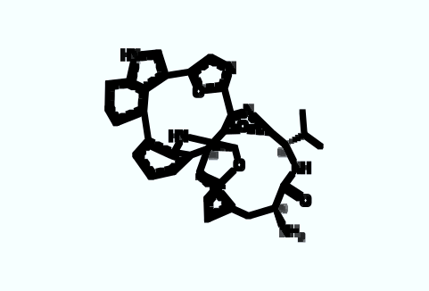 CC(C)[C@@H]1NC(=O)[C@@H](N)Cc2ccc3c(c2)[C@]24c5cccc(c5NC2O3)-c2cccc3[nH]cc(c23)-c2cnc(o2)-c2nc1oc24